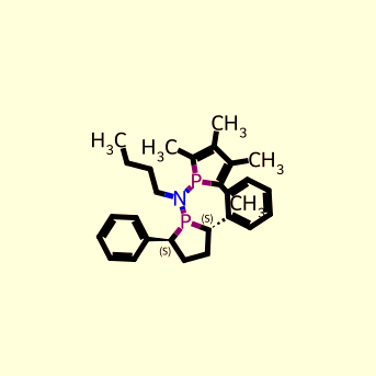 CCCCN(P1[C@H](c2ccccc2)CC[C@H]1c1ccccc1)p1c(C)c(C)c(C)c1C